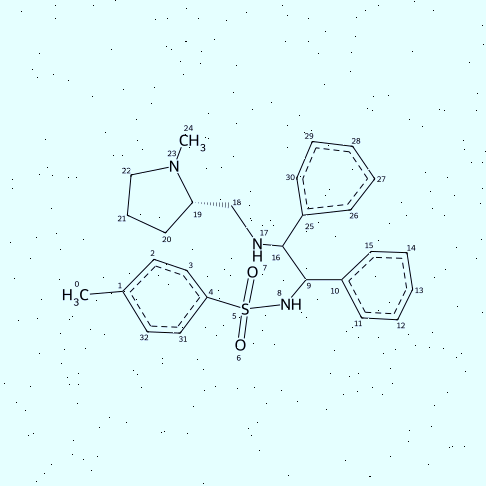 Cc1ccc(S(=O)(=O)NC(c2ccccc2)C(NC[C@@H]2CCCN2C)c2ccccc2)cc1